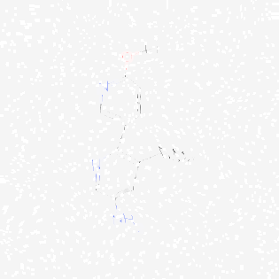 CCOc1ccc(-c2ncc(N)cc2NC)cn1